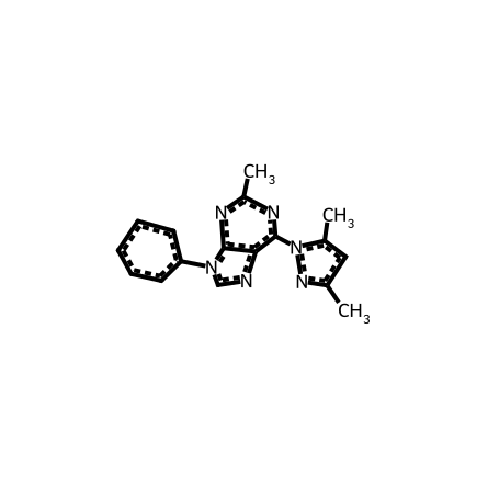 Cc1cc(C)n(-c2nc(C)nc3c2ncn3-c2ccccc2)n1